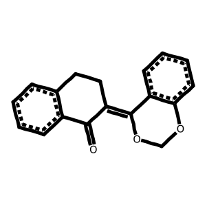 O=C1C(=C2OCOc3ccccc32)CCc2ccccc21